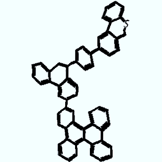 c1ccc2c(c1)CC(c1ccc(-c3ccc4c(c3)-c3ccccc3SC4)cc1)c1ccc(-c3ccc4c5ccccc5c5c6ccccc6c6ccccc6c5c4c3)cc1-2